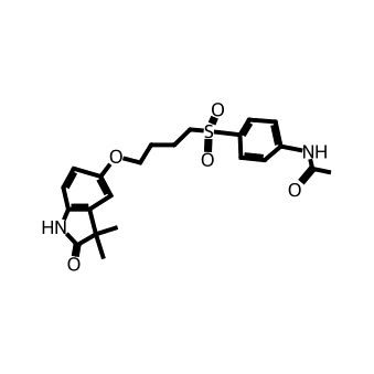 CC(=O)Nc1ccc(S(=O)(=O)CCCCOc2ccc3c(c2)C(C)(C)C(=O)N3)cc1